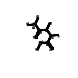 COC(=O)C(C)C(C)C(=O)N(C)C